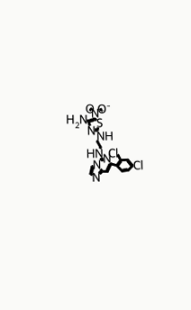 Nc1nc(NCCNc2nc(-c3ccc(Cl)cc3Cl)cc3nccn23)sc1[N+](=O)[O-]